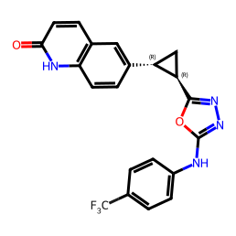 O=c1ccc2cc([C@@H]3C[C@H]3c3nnc(Nc4ccc(C(F)(F)F)cc4)o3)ccc2[nH]1